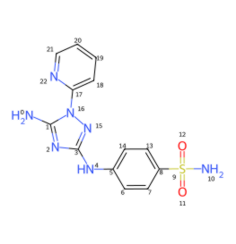 Nc1nc(Nc2ccc(S(N)(=O)=O)cc2)nn1-c1ccccn1